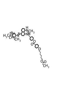 C=CC(=O)OCCCCCCOc1ccc(C(=O)Oc2ccc(CCC3(C)Nc4cccc5c(/N=N/c6ccc(C(C)(C)C(C)(C)C)cc6C)ccc(c45)N3)cc2)cc1